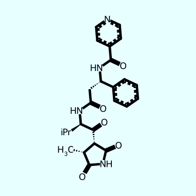 CC(C)[C@@H](NC(=O)C[C@H](NC(=O)c1ccncc1)c1ccccc1)C(=O)[C@@H]1C(=O)NC(=O)[C@@H]1C